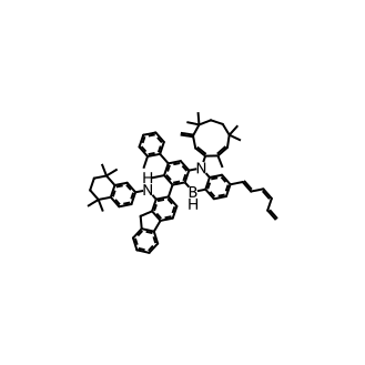 C=C/C=C\C=Cc1ccc2c(c1)N(/C1=C/C(=C)C(C)(C)CCC(C)(C)C=C1C)c1cc(-c3ccccc3C)c(C)c(-c3ccc4c(c3Nc3ccc5c(c3)C(C)(C)CCC5(C)C)Cc3ccccc3-4)c1B2